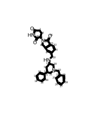 O=C1CCC(N2Cc3cc(CNC4CC(c5ccccc5)CN(Cc5ccccc5)C4)ccc3C2=O)C(=O)N1